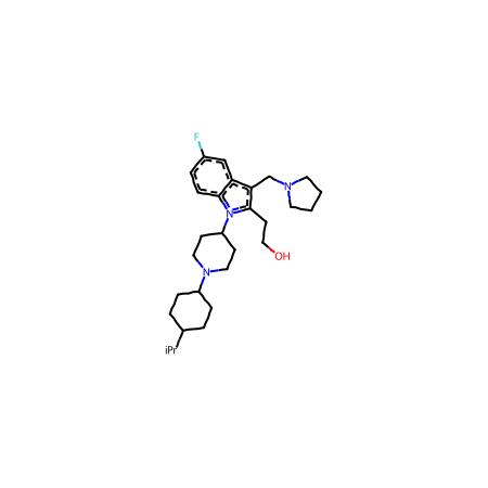 CC(C)C1CCC(N2CCC(n3c(CCO)c(CN4CCCC4)c4cc(F)ccc43)CC2)CC1